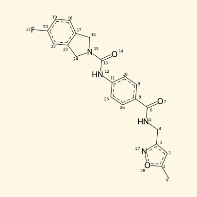 Cc1cc(CNC(=O)c2ccc(NC(=O)N3Cc4ccc(F)cc4C3)cc2)no1